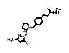 Cc1cc(C)n(C[C@H]2CCCN2Cc2ccc(C=CC(=O)NO)cc2)n1